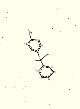 CC(C)c1ccc(C(C)(C)c2ncccn2)cn1